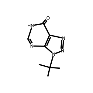 CC(C)(C)n1nnc2c(=O)[nH]cnc21